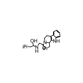 CC(C)CC(O)NCC(=O)N1CCc2c([nH]c3ccccc23)C1CC(C)C